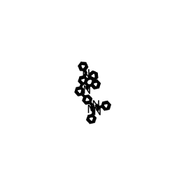 c1ccc(-c2nc(-c3ccccc3)nc(-c3ccc(-c4cccc5c4nc(-c4ccccc4)c4c5ccc5c4c4ccccc4n5-c4ccccc4)cc3)n2)cc1